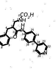 O=C(O)NCC(Cc1ccccc1)C(=O)Nc1ccc(-c2ccncc2)cc1